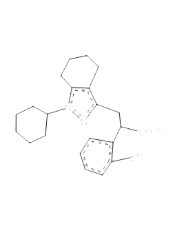 CCc1ccccc1C(Cc1nn(C2CCCCC2)c2c1CCCC2)C(=O)O